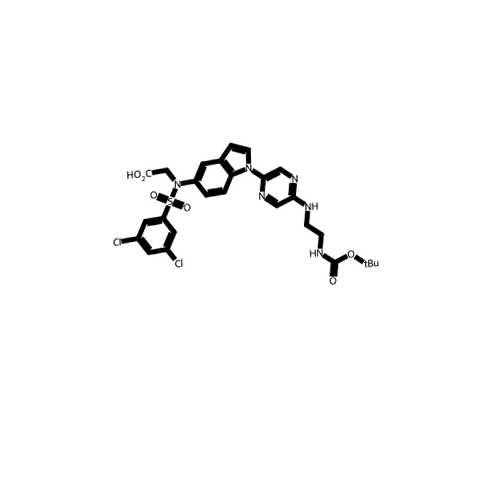 CC(C)(C)OC(=O)NCCNc1cnc(-n2ccc3cc(N(CC(=O)O)S(=O)(=O)c4cc(Cl)cc(Cl)c4)ccc32)cn1